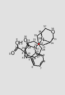 O=C(O)c1nc2ccccc2n(C2CC3COCC(C2)N3C2CCCCCCC2)c1=O